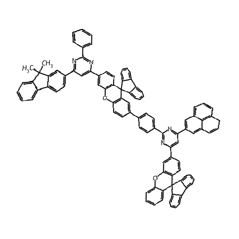 CC1(C)c2ccccc2-c2ccc(-c3cc(-c4ccc5c(c4)Oc4ccc(-c6ccc(-c7nc(-c8ccc9c(c8)Oc8ccccc8C98c9ccccc9-c9ccccc98)cc(-c8cc9c%10c(cccc%10c8)CC=C9)n7)cc6)cc4C54c5ccccc5-c5ccccc54)nc(-c4ccccc4)n3)cc21